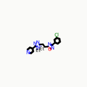 CC[N+]1(CC)C(CCc2nc(-c3cccc(Cl)c3)no2)=NN=C1c1ccncc1